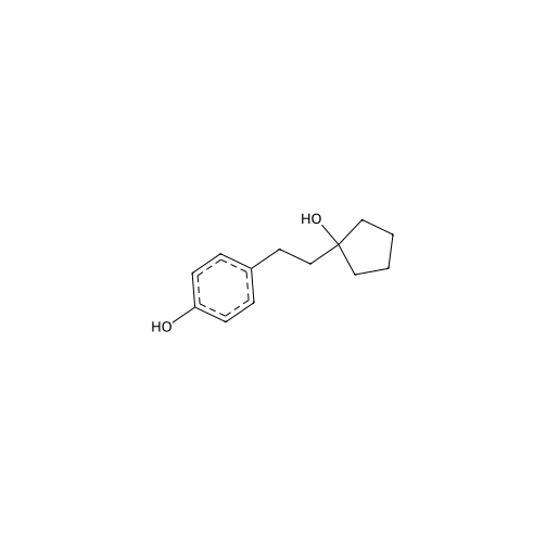 Oc1ccc(CCC2(O)CCCC2)cc1